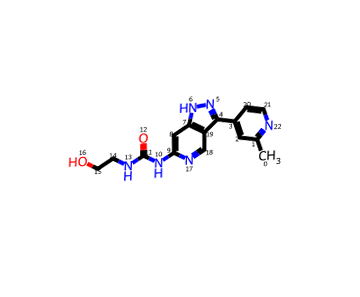 Cc1cc(-c2n[nH]c3cc(NC(=O)NCCO)ncc23)ccn1